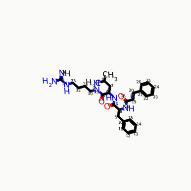 CC(C)CC(NC(=O)C(Cc1ccccc1)NC(=O)/C=C/c1ccccc1)C(=O)NCCCCNC(=N)N